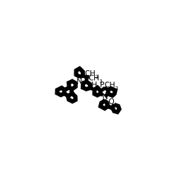 CC1(C)c2ccccc2N(c2ccc3c4ccccc4c4ccccc4c3c2)c2ccc(-c3ccc4c(c3)C(C)(P)c3ccccc3N4c3cccc4c3oc3ccccc34)cc21